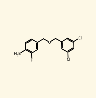 Bc1ccc(COCc2cc(Cl)cc(Cl)c2)cc1F